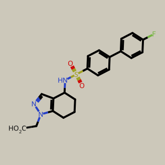 O=C(O)Cn1ncc2c1CCCC2NS(=O)(=O)c1ccc(-c2ccc(F)cc2)cc1